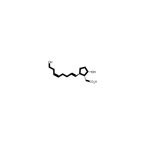 O=C(O)C[C@H]1[C@@H](O)CC[C@@H]1C=CCC/C=C\CCO